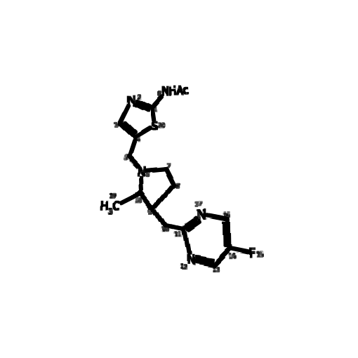 CC(=O)Nc1ncc(CN2CCC(Cc3ncc(F)cn3)C2C)s1